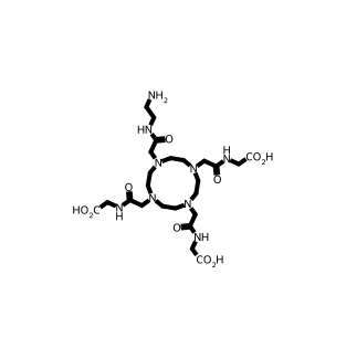 NCCNC(=O)CN1CCN(CC(=O)NCC(=O)O)CCN(CC(=O)NCC(=O)O)CCN(CC(=O)NCC(=O)O)CC1